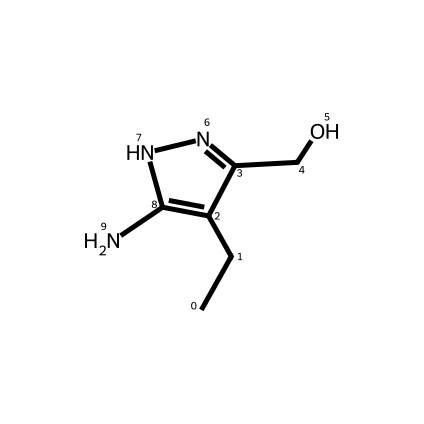 CCc1c(CO)n[nH]c1N